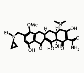 CCN(Cc1cc(O)c2c(c1OC)C[C@H]1C[C@H]3[C@H](N(C)C)C(O)=C(C(N)=O)C(=O)[C@@]3(O)C(O)=C1C2=O)C1CC1